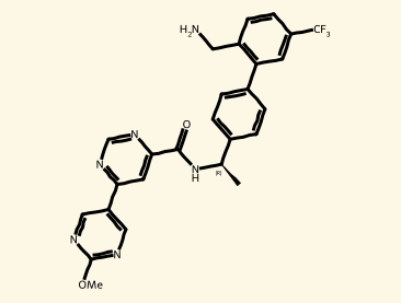 COc1ncc(-c2cc(C(=O)N[C@H](C)c3ccc(-c4cc(C(F)(F)F)ccc4CN)cc3)ncn2)cn1